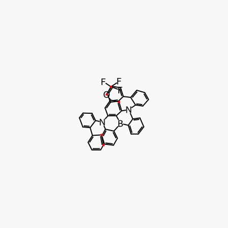 FC(F)(F)Oc1cc2c3c(c1)N(c1ccccc1-c1ccccc1)c1ccccc1B3c1ccccc1N2c1ccccc1-c1ccccc1